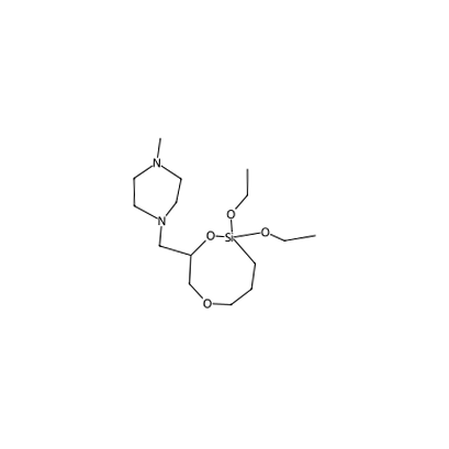 CCO[Si]1(OCC)CCCOCC(CN2CCN(C)CC2)O1